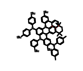 Cc1ccc(N(c2ccc(C)cc2)c2cc3c(cc2C(C)(C)C)N(c2cccc(C(C)(C)C)c2)c2cc(N(c4ccc(C(C)(C)C)cc4)c4ccc(C(C)(C)C)cc4)cc4c2B3c2cc3c(cc2N4c2ccc(C(C)(C)C)cc2-c2ccccc2)C(C)(C)CCC3(C)C)cc1